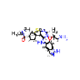 C[C@H](CN)Oc1cc2[nH]ncc2cc1Nc1ncnc2sc3c(c12)CC[C@H](C(=O)N(C)C)C3